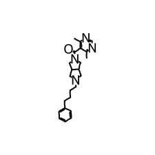 Cc1ncnc(C)c1C(=O)N1CC2CN(CCCCc3ccccc3)CC2C1